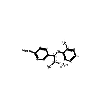 COc1ccc([C@@H](Sc2ccccc2[N+](=O)[O-])[C@H](O)C(=O)O)cc1